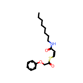 CCCCCCCCNC(=O)/C=C\SC(=O)COc1ccccc1